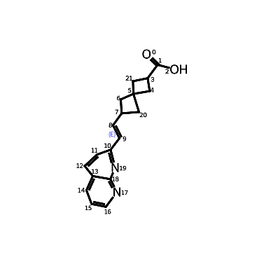 O=C(O)C1CC2(CC(/C=C/c3ccc4cccnc4n3)C2)C1